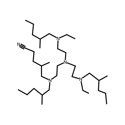 CCCC(C)CN(CC)CCN(CCN(CC)CC(C)CCC)CCN(CC(C)CCC)CC(C)CCC#N